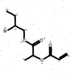 C=CC(=O)OC(C)C(=O)OCC(Br)CC